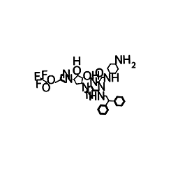 NC1CCC(NC(=O)c2nc(NCC(c3ccccc3)c3ccccc3)c3ncn([C@@H]4C[C@H](n5cc(COC(=O)C(F)(F)F)cn5)[C@@H](O)[C@H]4O)c3n2)CC1